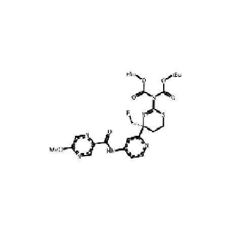 COc1cnc(C(=O)Nc2ccnc([C@]3(CF)CCSC(N(C(=O)OC(C)(C)C)C(=O)OC(C)(C)C)=N3)c2)cn1